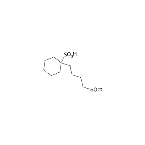 CCCCCCCCCCCCC1(S(=O)(=O)O)CCCCC1